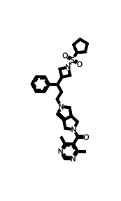 Cc1ncnc(C)c1C(=O)N1CC2=CN(CCC(c3ccccc3)C3CN(S(=O)(=O)C4CCCC4)C3)CC2C1